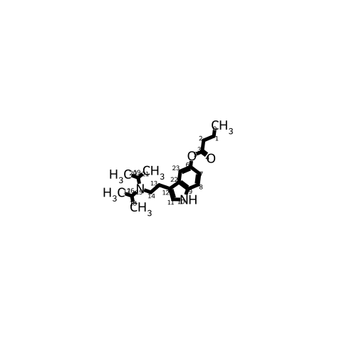 CCCC(=O)Oc1ccc2[nH]cc(CCN(C(C)C)C(C)C)c2c1